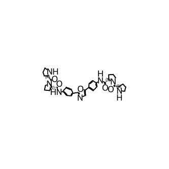 O=C(Nc1ccc(-c2cnc(-c3ccc(NC(=O)[C@@H]4CCCN4C(=O)[C@H]4CCCN4)cc3)o2)cc1)[C@@H]1CCCN1C(=O)[C@H]1CCCN1